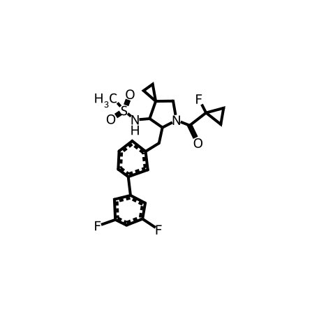 CS(=O)(=O)NC1C(Cc2cccc(-c3cc(F)cc(F)c3)c2)N(C(=O)C2(F)CC2)CC12CC2